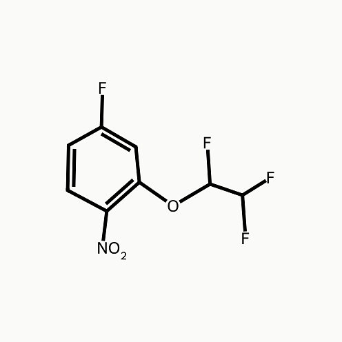 O=[N+]([O-])c1ccc(F)cc1OC(F)C(F)F